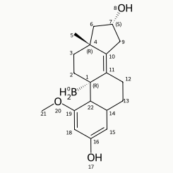 B[C@]12CC[C@]3(C)C[C@H](O)CC3=C1CCC1C=C(O)C=C(OC)C12